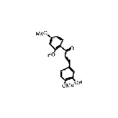 COc1ccc(C(=O)C=Cc2ccc(OC)c(O)c2)c(O)c1